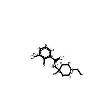 CCN1CCC(C)(NC(=O)c2cccc(Cl)c2C)CC1